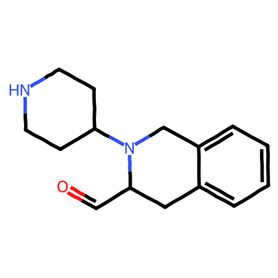 O=CC1Cc2ccccc2CN1C1CCNCC1